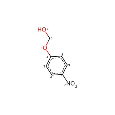 O=[N+]([O-])c1ccc(OCO)cc1